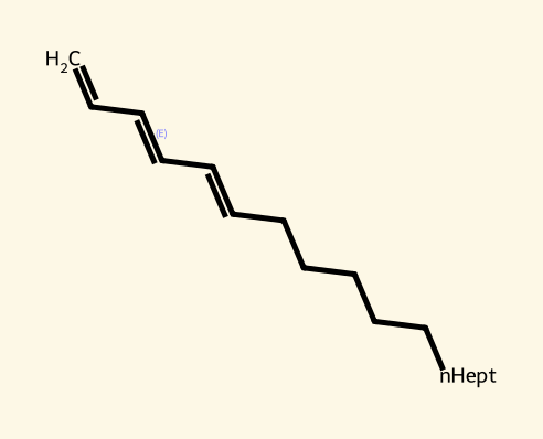 C=C/C=C/C=CCCCCCC[CH]CCCCC